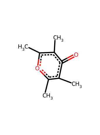 Cc1oc(C)c(C)c(=O)c1C